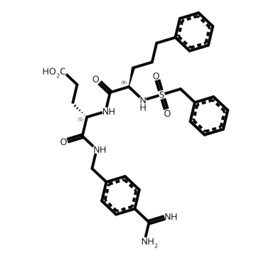 N=C(N)c1ccc(CNC(=O)[C@H](CCC(=O)O)NC(=O)[C@@H](CCCc2ccccc2)NS(=O)(=O)Cc2ccccc2)cc1